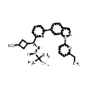 CCc1cccc(-n2ncc3ccc(-c4cccc([C@@H](N[S+]([O-])C(C)(C)C)C5CC(O)C5)n4)cc32)n1